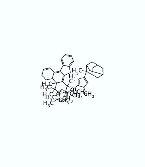 [CH2]=[Zn]([CH3])([C]1=CC(C2(C)C3CC4CC(C3)CC2C4)=CC1C)([c]1ccc(C)cc1)[C]1(C)C2=C3Cc4ccccc4C3=C3C=CCCC3C2(C)C(C)(C)C(C)(C)C1(C)C